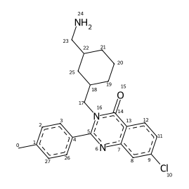 Cc1ccc(-c2nc3cc(Cl)ccc3c(=O)n2CC2CCCC(CN)C2)cc1